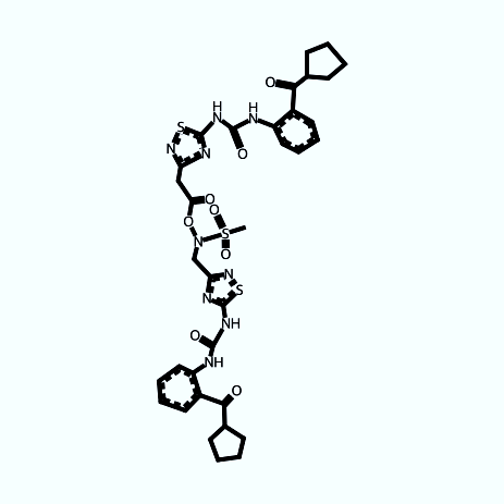 CS(=O)(=O)N(Cc1nsc(NC(=O)Nc2ccccc2C(=O)C2CCCC2)n1)OC(=O)Cc1nsc(NC(=O)Nc2ccccc2C(=O)C2CCCC2)n1